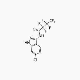 O=C(Nc1n[nH]c2cc(Cl)ccc12)C(F)(F)C(F)(F)C(F)(F)F